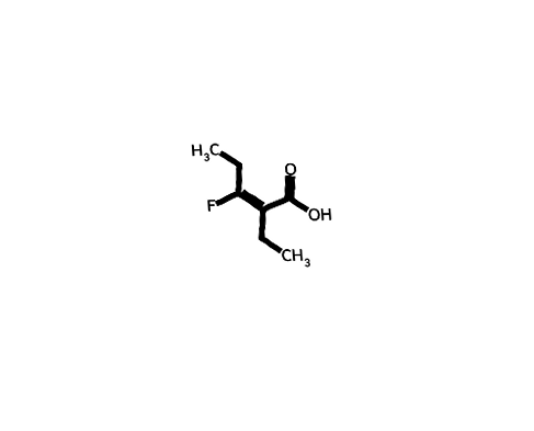 CC/C(F)=C(/CC)C(=O)O